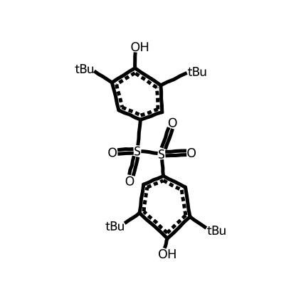 CC(C)(C)c1cc(S(=O)(=O)S(=O)(=O)c2cc(C(C)(C)C)c(O)c(C(C)(C)C)c2)cc(C(C)(C)C)c1O